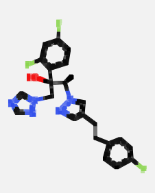 C[C@@H](n1cc(CCc2ccc(F)cc2)cn1)[C@](O)(Cn1cncn1)c1ccc(F)cc1F